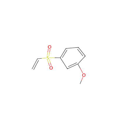 C=CS(=O)(=O)c1cccc(OC)c1